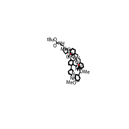 COc1ccc(CN(Cc2ccc(OC)cc2)S(=O)(=O)c2c(S(=O)(=O)N[C@@H]3CCN(CCNC(=O)OC(C)(C)C)C3)ccc(-c3ccc(N)nc3)c2-c2nnn(Cc3ccc(OC)cc3)n2)cc1